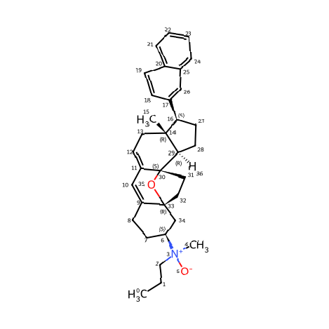 CCC[N+](C)([O-])[C@H]1CCC2=CC3=CC[C@]4(C)[C@@H](c5ccc6ccccc6c5)CC[C@H]4[C@@]34CC[C@]2(C1)O4